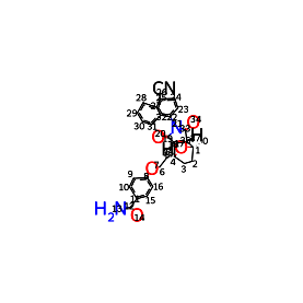 C[C@]12CC[C@](CCOc3ccc(C(N)=O)cc3)(O1)[C@@H]1C(=O)N(c3ccc(C#N)c4ccccc34)C(=O)[C@@H]12